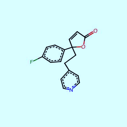 O=C1C=CC(CCc2ccncc2)(c2ccc(F)cc2)O1